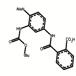 CNc1ccc(NC(=O)c2ccccc2C(=O)O)cc1NC(=O)OC(C)(C)C